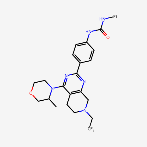 CCNC(=O)Nc1ccc(-c2nc3c(c(N4CCOCC4C)n2)CCN(CC(F)(F)F)C3)cc1